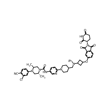 CC(C)N(CC1CCN(c2ccc(NC(=O)N3C[C@H](C)N(c4ccc(C#N)c(Cl)c4)C[C@H]3C)cn2)CC1)C1CC(Oc2ccc3c(c2)C(=O)N([C@@H]2CCC(=O)NC2=O)C3=O)C1